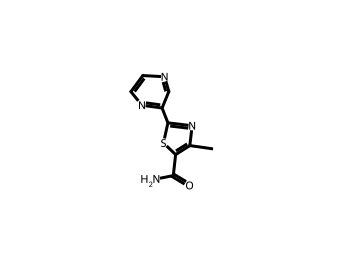 Cc1nc(-c2cnccn2)sc1C(N)=O